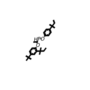 CCC(C)(C)c1ccc(OPC(C)Oc2ccc(C(C)(C)C)cc2C(C)(C)CC)cc1